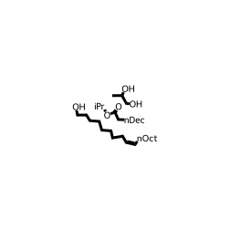 CC(O)CO.CCCCCCCC/C=C\CCCCCCCCO.CCCCCCCCCCCC(=O)OC(C)C